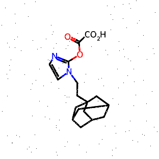 O=C(O)C(=O)Oc1nccn1CCC12CC3CC(CC(C3)C1)C2